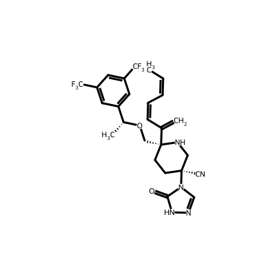 C=C(/C=C\C=C/C)[C@]1(CO[C@H](C)c2cc(C(F)(F)F)cc(C(F)(F)F)c2)CC[C@](C#N)(n2cn[nH]c2=O)CN1